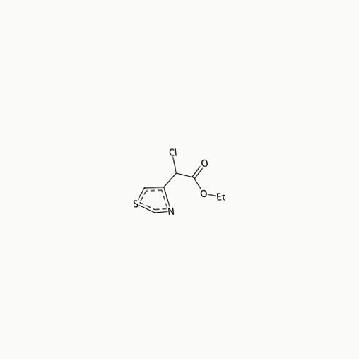 CCOC(=O)C(Cl)c1cscn1